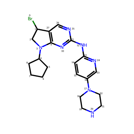 BrC1CN(C2CCCC2)c2nc(Nc3ccc(N4CCNCC4)cn3)ncc21